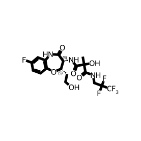 CC(O)(C(=O)NCC(F)(F)C(F)(F)F)C(=O)N[C@H]1C(=O)Nc2cc(F)ccc2O[C@H]1CCO